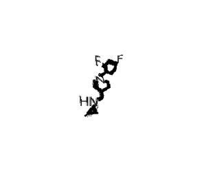 C[C@@H]1C[C@H]1NCC1CCN(Cc2ccc(F)cc2F)CC1